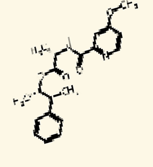 COc1ccnc(C(=O)N[C@@H](C)C(=O)O[C@@H](C)[C@@H](C)c2ccccc2)c1